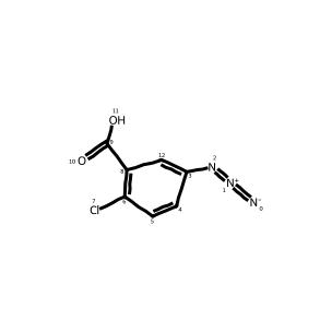 [N-]=[N+]=Nc1ccc(Cl)c(C(=O)O)c1